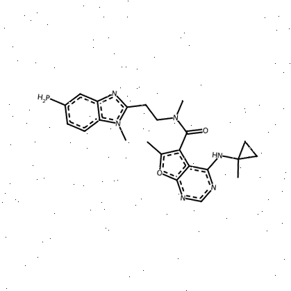 Cc1oc2ncnc(NC3(C)CC3)c2c1C(=O)N(C)CCc1nc2cc(P)ccc2n1C